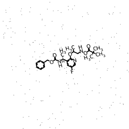 CC(CNOC(=O)C(C)(C)C)Oc1ncc(F)cc1[C@@H](C)NC(=O)OCc1ccccc1